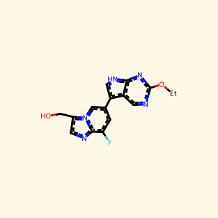 CCOc1ncc2c(-c3cc(F)c4ncc(CO)n4c3)c[nH]c2n1